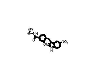 CCCNNC(=O)c1ccc(Cc2c[nH]c3ccc([N+](=O)[O-])cc23)c(OC)c1